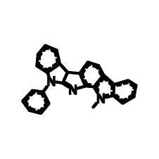 Cn1c2ccccc2c2ccc3c(c21)N=C1C3c2ccccc2N1c1ccccc1